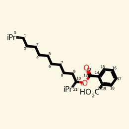 CC(C)CCCCCCCCCC(OC(=O)c1ccccc1C(=O)O)C(C)C